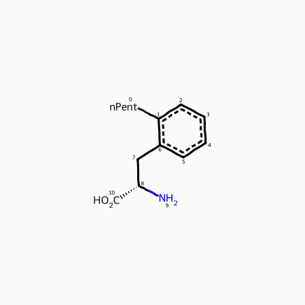 CCCCCc1ccccc1C[C@H](N)C(=O)O